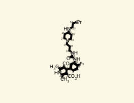 CC1=C(C(=O)O)C(c2ccc(F)c(NC(=O)NCCCN3CCC(NCCC(C)C)CC3)c2)C(C(=O)O)=C(C)N1